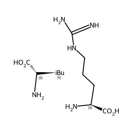 CC[C@H](C)[C@H](N)C(=O)O.N=C(N)NCCC[C@H](N)C(=O)O